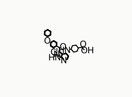 O=C(c1ccc(Oc2ccccc2)cc1Cl)c1n[nH]c2nccc(NC3CCC(C(=O)O)CC3)c12